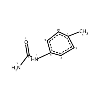 Cc1ccc(NC(N)=O)cc1